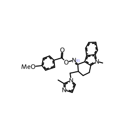 COc1ccc(C(=O)O/N=C2/c3c(n(C)c4ccccc34)CCC2Cn2ccnc2C)cc1